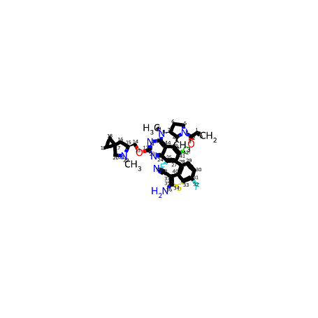 C=CC(=O)N1CC[C@@H](N(C)c2nc(OC[C@@H]3CC4(CC4)CN3C)nc3c(F)c(-c4ccc(F)c5sc(N)c(C#N)c45)c(Cl)cc23)[C@@H]1C